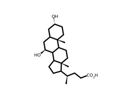 C[C@H](CCC(=O)O)C1CCC2C3C(CC[C@@]21C)[C@@]1(C)CC[C@@H](O)CC1C[C@@H]3O